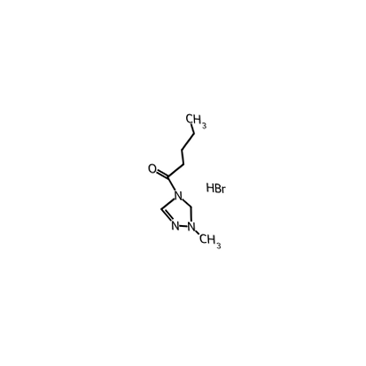 Br.CCCCC(=O)N1C=NN(C)C1